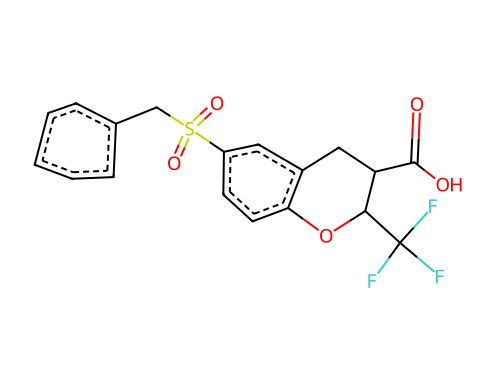 O=C(O)C1Cc2cc(S(=O)(=O)Cc3ccccc3)ccc2OC1C(F)(F)F